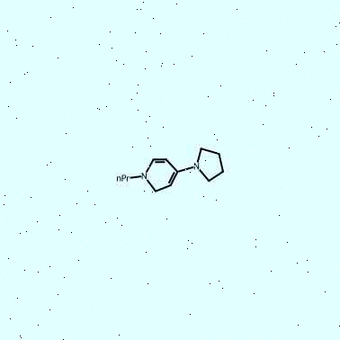 CCCN1C=CC(N2CCCC2)=CC1